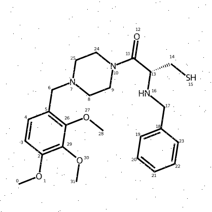 COc1ccc(CN2CCN(C(=O)[C@H](CS)NCc3ccccc3)CC2)c(OC)c1OC